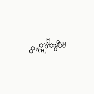 CN(Cc1ccc(CC(=O)Nc2ccc3c(c2)CN(C2CCC(=O)NC2=O)C3=O)cc1)Cc1cccc2ccccc12